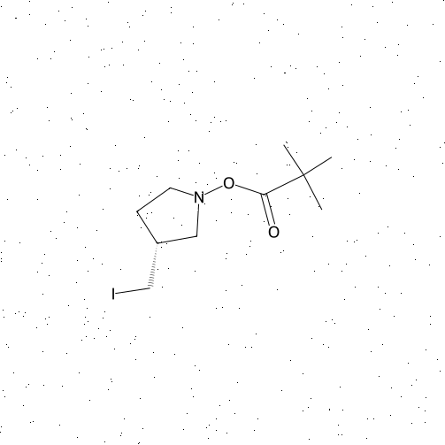 CC(C)(C)C(=O)ON1CC[C@@H](CI)C1